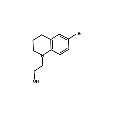 CC(C)(C)c1ccc2c(c1)[C]CCN2CCO